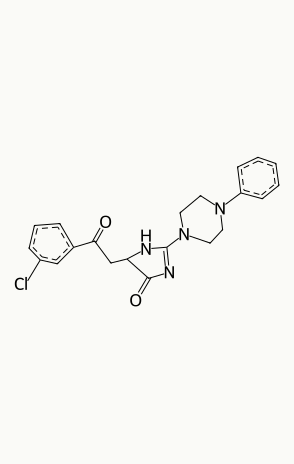 O=C(CC1NC(N2CCN(c3ccccc3)CC2)=NC1=O)c1cccc(Cl)c1